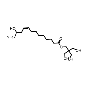 CCCCCC[C@@H](O)C/C=C\CCCCCCCC(=O)OCC(CO)(CO)CO